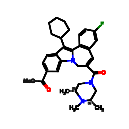 COC(=O)c1ccc2c(C3CCCCC3)c3n(c2c1)CC(C(=O)N1C[C@@H](C)N(C)[C@@H](C)C1)=Cc1cc(F)ccc1-3